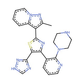 Cc1nn2ccccc2c1-c1nc(-c2cccnc2N2CCNCC2)c(-c2nc[nH]n2)s1